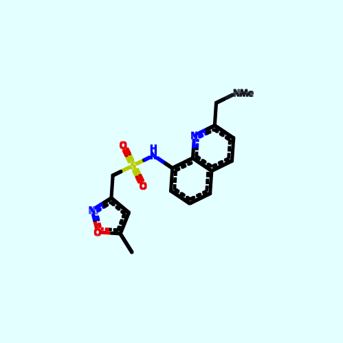 CNCc1ccc2cccc(NS(=O)(=O)Cc3cc(C)on3)c2n1